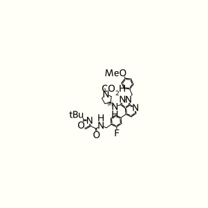 COc1ccc(Cn2nc(N[C@@H]3CCN(C(=O)O)C3)c3c(-c4ccc(CNC(=O)c5coc(C(C)(C)C)n5)c(F)c4)ccnc32)cc1